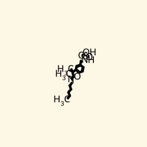 CCCCCCN=C1Oc2ccc(CNS(=O)(=O)O)cc2C1(C)C